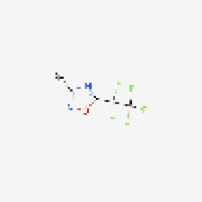 [2H]c1noc(C(F)(F)C(F)(F)F)n1